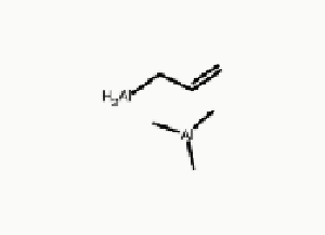 C=C[CH2][AlH2].[CH3][Al]([CH3])[CH3]